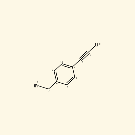 [Li][C]#Cc1ccc(CC(C)C)cc1